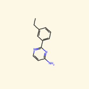 CCc1cccc(-c2nccc(N)n2)c1